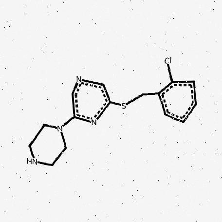 Clc1ccccc1CSc1cncc(N2CCNCC2)n1